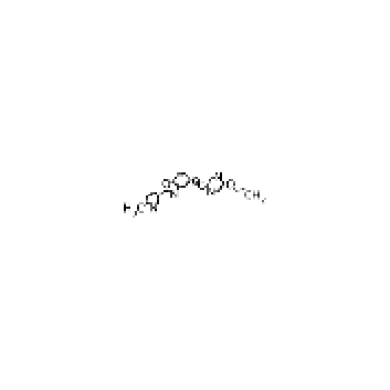 C=CCOc1cnc(COc2ccc3oc(-c4ccc(C)nc4)nc3c2)cn1